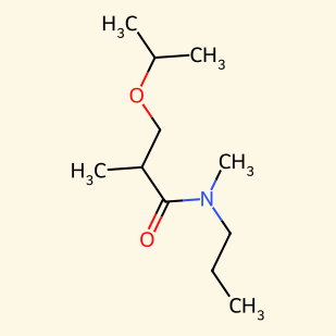 CCCN(C)C(=O)C(C)COC(C)C